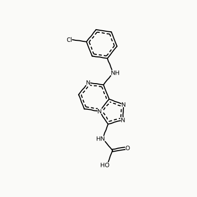 O=C(O)Nc1nnc2c(Nc3cccc(Cl)c3)nccn12